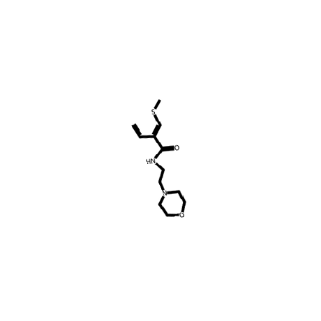 C=C/C(=C\SC)C(=O)NCCN1CCOCC1